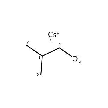 CC(C)C[O-].[Cs+]